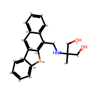 CC(CO)(CO)NCc1c2ccccc2cc2c1sc1ccccc12